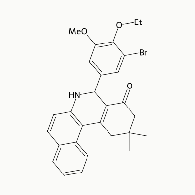 CCOc1c(Br)cc(C2Nc3ccc4ccccc4c3C3=C2C(=O)CC(C)(C)C3)cc1OC